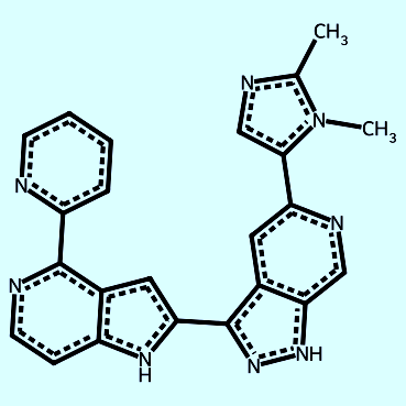 Cc1ncc(-c2cc3c(-c4cc5c(-c6ccccn6)nccc5[nH]4)n[nH]c3cn2)n1C